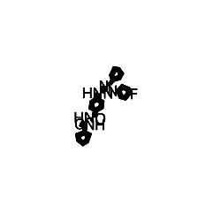 O=C(NNC(=O)c1ccc(Nc2nc(-c3ccccc3)n(-c3ccc(F)cc3)n2)cc1)c1ccccc1